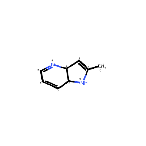 CC1=CC2N=CC=CC2N1